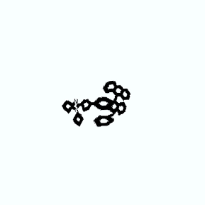 c1ccc(-c2c3ccccc3c(-c3c4ccccc4cc4ccccc34)c3ccc(-c4ccc(-c5nc6ccccc6n5-c5ccccc5)cc4)cc23)cc1